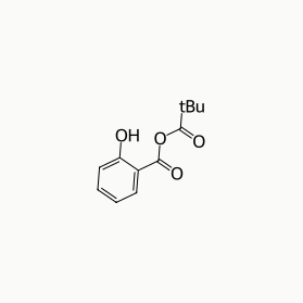 CC(C)(C)C(=O)OC(=O)c1ccccc1O